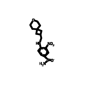 N[S+]([O-])c1ccc(NCC2CC3(CCOCC3)C2)c([N+](=O)[O-])c1